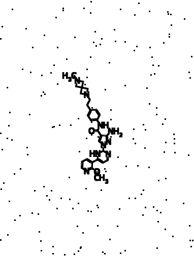 COc1ncccc1C1=CC=NC(n2cc(C(=O)Nc3ccc(CCN4CC5(CN(C)C5)C4)cc3)c(N)n2)N1